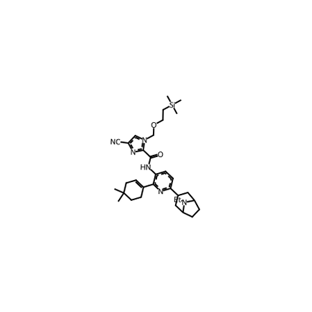 CCN1C2CCC1CC(c1ccc(NC(=O)c3nc(C#N)cn3COCC[Si](C)(C)C)c(C3=CCC(C)(C)CC3)n1)C2